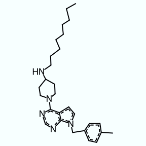 CCCCCCCCCNC1CCN(c2ncnc3c2ccn3Cc2ccc(C)cc2)CC1